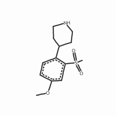 COc1ccc(C2CCNCC2)c(S(C)(=O)=O)c1